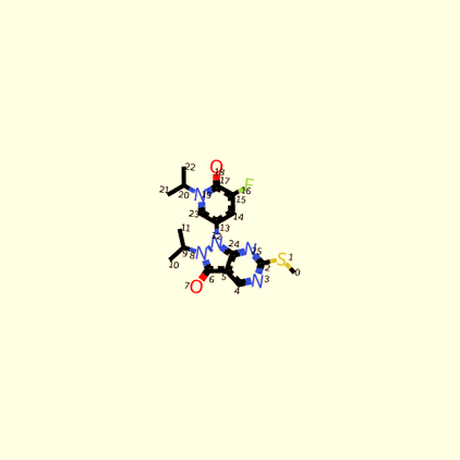 CSc1ncc2c(=O)n(C(C)C)n(-c3cc(F)c(=O)n(C(C)C)c3)c2n1